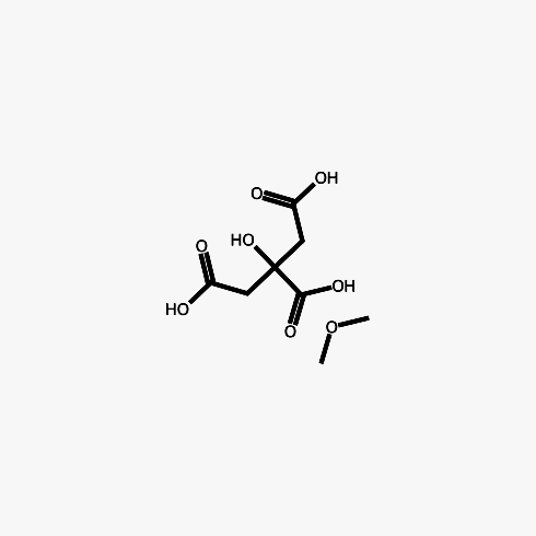 COC.O=C(O)CC(O)(CC(=O)O)C(=O)O